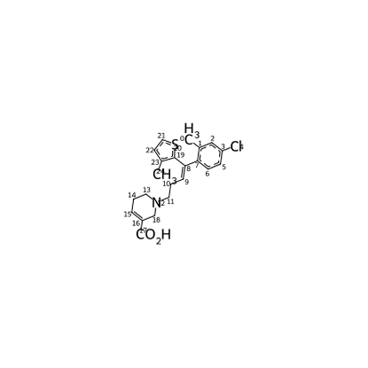 Cc1cc(Cl)ccc1C(=CCCN1CCC=C(C(=O)O)C1)c1sccc1C